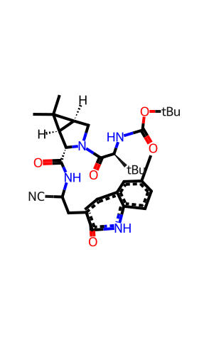 Cc1ccc2[nH]c(=O)c(CC(C#N)NC(=O)[C@@H]3[C@@H]4[C@H](CN3C(=O)[C@@H](NC(=O)OC(C)(C)C)C(C)(C)C)C4(C)C)cc2c1